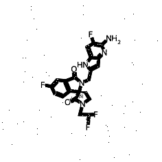 Nc1nc2cc(CN3C(=O)c4cc(F)ccc4[C@]34CCN(CC(F)F)C4=O)[nH]c2cc1F